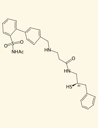 CC(=O)NS(=O)(=O)c1ccccc1-c1ccc(CNCCC(=O)NC[C@H](S)Cc2ccccc2)cc1